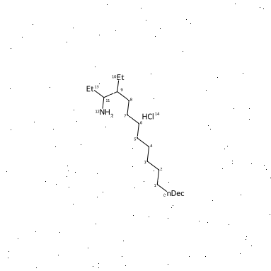 CCCCCCCCCCCCCCCCCCC(CC)C(N)CC.Cl